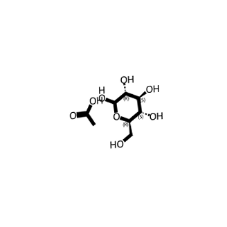 CC(=O)O.OC[C@H]1OC(O)[C@H](O)[C@@H](O)[C@@H]1O